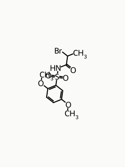 COc1ccc(OC)c(S(=O)(=O)NC(=O)C(C)Br)c1